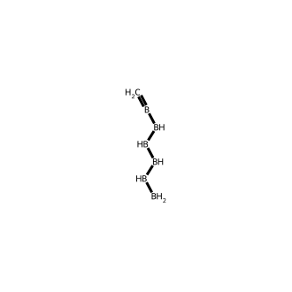 BBBBBB=C